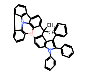 CC1(C)c2ccc3c4cccc5c6cccc7c6n(c3c2B7c2ccc3c(c(-c6ccccc6)c(-c6ccccc6)n3-c3ccccc3)c21)c54